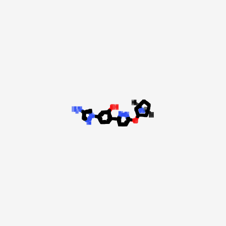 Nc1cnn(-c2ccc(-c3ccc(OC4C[C@H]5CC[C@@H](C4)N5)nn3)c(O)c2)c1